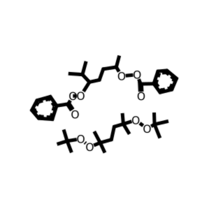 CC(C)(C)OOC(C)(C)CCC(C)(C)OOC(C)(C)C.CC(CCC(OOC(=O)c1ccccc1)C(C)C)OOC(=O)c1ccccc1